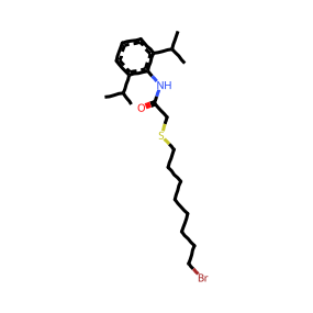 CC(C)c1cccc(C(C)C)c1NC(=O)CSCCCCCCCCBr